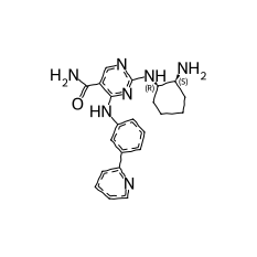 NC(=O)c1cnc(N[C@@H]2CCCC[C@@H]2N)nc1Nc1cccc(-c2ccccn2)c1